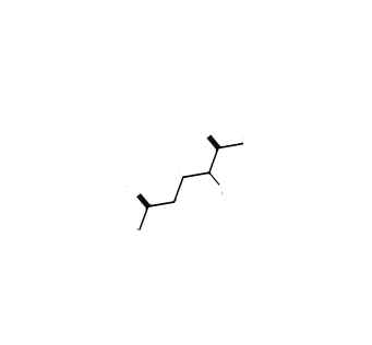 CC(=O)CCC(Cl)C(C)=O